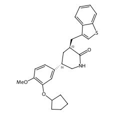 COc1ccc([C@H]2CNC(=O)[C@H](Cc3csc4ccccc34)C2)cc1OC1CCCC1